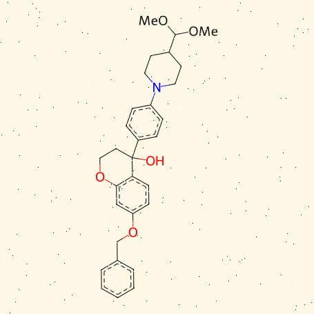 COC(OC)C1CCN(c2ccc(C3(O)CCOc4cc(OCc5ccccc5)ccc43)cc2)CC1